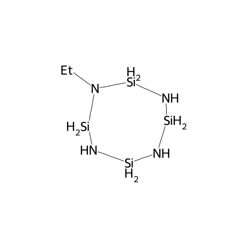 CCN1[SiH2]N[SiH2]N[SiH2]N[SiH2]1